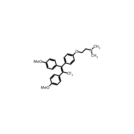 COc1ccc(C(=C(c2ccc(OC)cc2)C(F)(F)F)c2ccc(OCCN(C)C)cc2)cc1